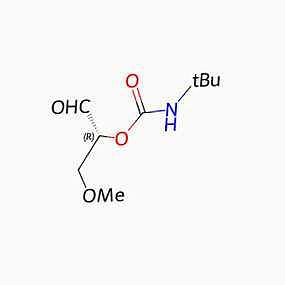 COC[C@H](C=O)OC(=O)NC(C)(C)C